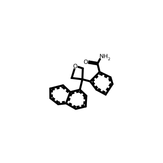 NC(=O)c1ccccc1C1(c2cccc3ccccc23)COC1